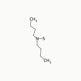 CCCCN([S])CCCC